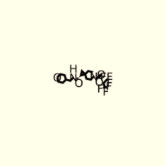 O=C(NCC1CCOCC1)[C@@H]1CC12CCN(C(=O)OC(C(F)(F)F)C(F)(F)F)CC2